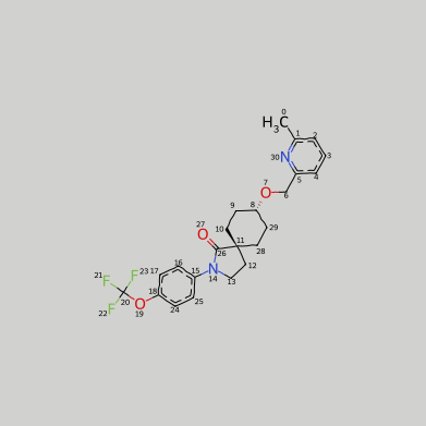 Cc1cccc(CO[C@H]2CC[C@]3(CCN(c4ccc(OC(F)(F)F)cc4)C3=O)CC2)n1